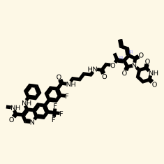 C=C/C=C1/C(=O)N(C2CCC(=O)NC2=O)C(=O)/C1=C(/C)OCC(=O)NCCCCNC(=O)c1ccc(-c2cc3c(Nc4ccccc4)c(C(=O)NC)cnc3cc2C(F)(F)F)cc1F